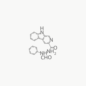 NC(=O)c1cc2c(cn1)[nH]c1ccccc12.O=CNc1ccccc1